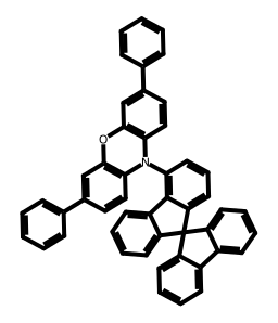 c1ccc(-c2ccc3c(c2)Oc2cc(-c4ccccc4)ccc2N3c2cccc3c2-c2ccccc2C32c3ccccc3-c3ccccc32)cc1